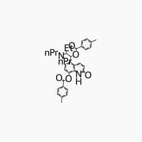 CCCN(CCC)C(CC)C(OC(=O)c1ccc(C)cc1)c1ccc(OC(=O)c2ccc(C)cc2)c2[nH]c(=O)ccc12